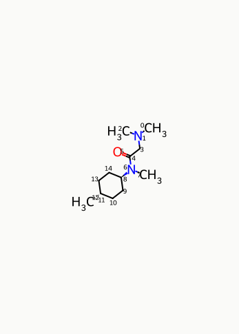 CN(C)CC(=O)N(C)[C@H]1CC[C@H](C)CC1